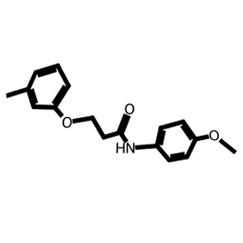 COc1ccc(NC(=O)CCOc2cccc(C)c2)cc1